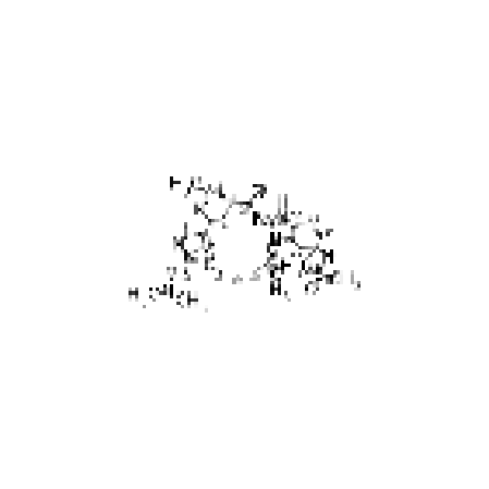 Cc1cc2cc(n1)-c1cnn(CCN(C)C)c1OCCC[C@@H](C)CN1/C(=N/C2=O)Nc2ccc(N=S(C)(C)=O)cc21